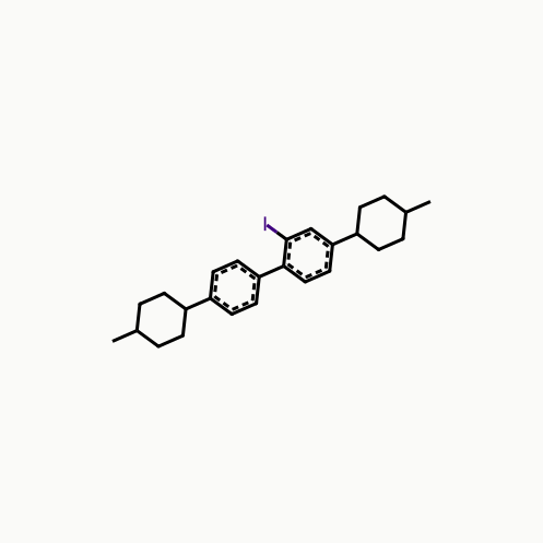 CC1CCC(c2ccc(-c3ccc(C4CCC(C)CC4)cc3I)cc2)CC1